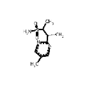 Cc1cnc([C@@H](C)C(C)S(N)(=O)=O)nc1